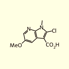 COc1cnc2c(c1)c(C(=O)O)c(Cl)n2C